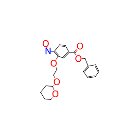 O=Nc1ccc(C(=O)OCc2ccccc2)cc1OCCOC1CCCCO1